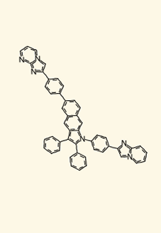 c1ccc(-c2c(-c3ccccc3)n(-c3ccc(-c4cn5ccccc5n4)cc3)c3cc4ccc(-c5ccc(-c6cn7cccnc7n6)cc5)cc4cc23)cc1